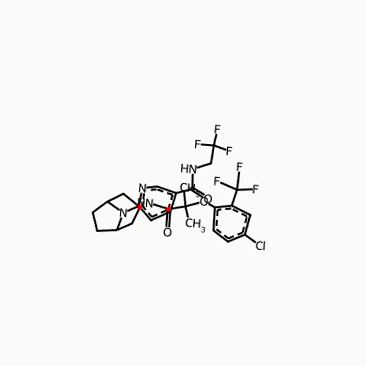 CC(C)(Oc1ccc(Cl)cc1C(F)(F)F)C(=O)NC1CC2CCC(C1)N2c1ccc(C(=O)NCC(F)(F)F)cn1